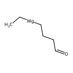 C[CH2][Mg][CH2]CCC=O